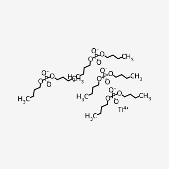 CCCCOP(=O)([O-])OCCCC.CCCCOP(=O)([O-])OCCCC.CCCCOP(=O)([O-])OCCCC.CCCCOP(=O)([O-])OCCCC.[Ti+4]